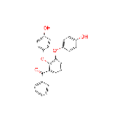 O=C(c1ccccc1)c1cccc(Oc2ccc(O)cc2)c1Oc1ccc(O)cc1